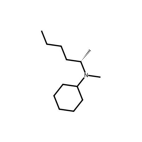 CCCC[C@H](C)N(C)C1CCCCC1